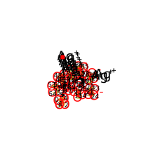 O=S(=O)([O-])OC[C@H]1O[C@@](COS(=O)(=O)[O-])(O[C@H]2O[C@H](COS(=O)(=O)[O-])[C@@H](OS(=O)(=O)[O-])[C@H](OS(=O)(=O)[O-])[C@H]2OS(=O)(=O)[O-])[C@@H](OS(=O)(=O)[O-])[C@@H]1OS(=O)(=O)[O-].[Ag+].[Ag+].[Ag+].[Ag+].[Ag+].[Ag+].[Ag+].[Ag+]